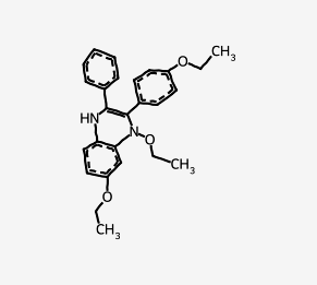 CCOc1ccc(C2=C(c3ccccc3)Nc3ccc(OCC)cc3N2OCC)cc1